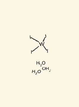 O.O.O.[I][W]([I])([I])[I]